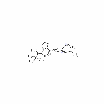 C=C(NCC(/C=C\C)=C/CC)C1CCCN1C(=C)C(C)C(C)(C)C